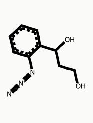 [N-]=[N+]=Nc1ccccc1C(O)CCO